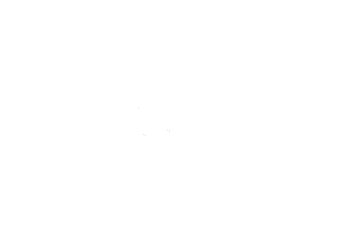 CS(=O)(=O)c1ccc2c(c1)CNC2C(=O)Nc1ccc(C(CCF)(C(F)(F)F)C(F)(F)F)cc1